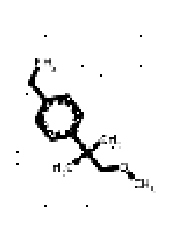 COCC(C)(C)c1ccc(CN)cc1